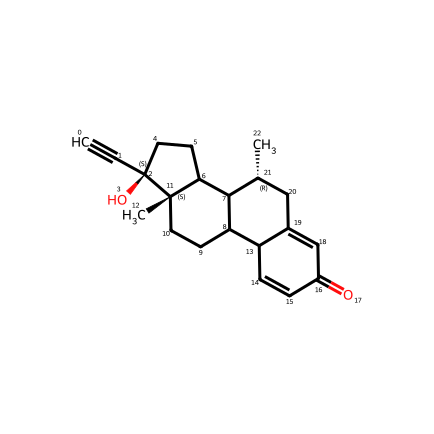 C#C[C@]1(O)CCC2C3C(CC[C@@]21C)C1C=CC(=O)C=C1C[C@H]3C